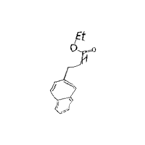 CCO[PH](=O)CCc1ccc2ccccc2c1